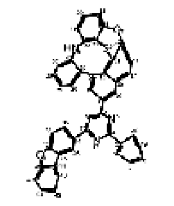 c1ccc(-c2nc(-c3cc4c5c6c(ccc5c3)Oc3cccc(c3S6)Nc3ccccc3-4)nc(-c3ccc4oc5ccccc5c4c3)n2)cc1